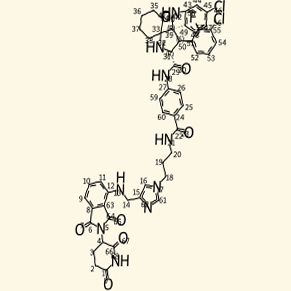 O=C1CCC(N2C(=O)c3cccc(NCc4cn(CCCNC(=O)c5ccc(NC(=O)[C@@H]6NC7(CCCCC7)[C@@]7(C(=O)Nc8cc(Cl)ccc87)[C@H]6c6cccc(Cl)c6F)cc5)cn4)c3C2=O)C(=O)N1